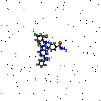 NC(=O)C1CCC(n2c(Nc3c(Cl)cc(F)cc3Cl)nc3cnc(NC4CCCC4)nc32)CC1